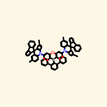 Cc1ccc2c(c1)C1(c3ccccc3-c3ccccc31)c1cc(C)ccc1N2c1ccc2c(c1)Oc1cc(N3c4ccc(C)cc4C4(c5ccccc5-c5ccccc54)c4cc(C)ccc43)ccc1B2c1c(-c2ccccc2)cccc1-c1ccccc1